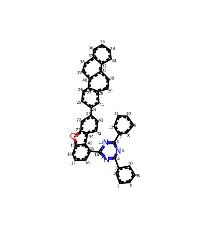 c1ccc(-c2nc(-c3ccccc3)nc(-c3cccc4oc5cc(-c6ccc7c(ccc8c9ccccc9ccc78)c6)ccc5c34)n2)cc1